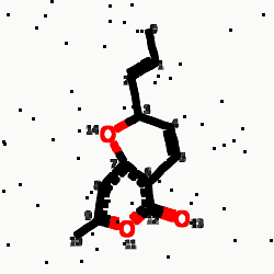 C/C=C/C1C=Cc2c(cc(C)oc2=O)O1